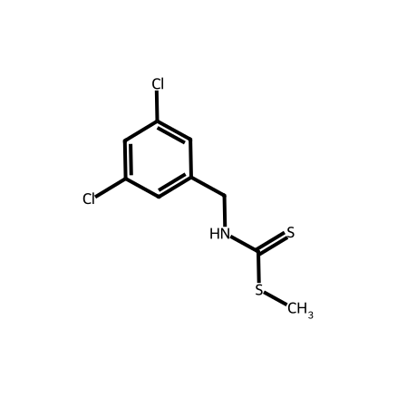 CSC(=S)NCc1cc(Cl)cc(Cl)c1